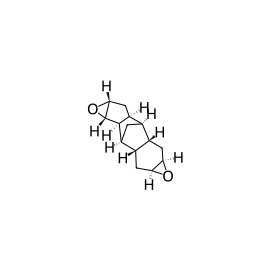 C1[C@@H]2[C@@H]3C[C@H]4O[C@H]4C[C@@H]3[C@H]1[C@@H]1[C@H]2C[C@H]2O[C@@H]12